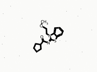 COCCn1c(=NC(=O)C2CCCC2)sc2ccccc21